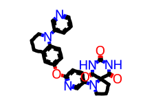 O=C1NC(=O)C2(CCCN2c2ccc(Oc3ccc4c(c3)CCCN4c3cccnc3)nc2)C(=O)N1